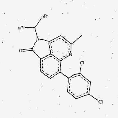 CCCC(CCC)N1C(=O)c2ccc(-c3ccc(Cl)cc3Cl)c3nc(C)cc1c23